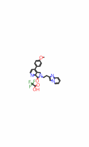 COc1ccc(-c2ccnc3c2CN(CCc2cn4ccccc4n2)C3=O)cc1.O=C(O)C(F)(F)F